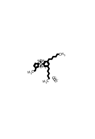 CCCCCCc1cc(CCCCCC)cc([Si](C)(C)[C]2([Ti+3])C=CC(CC)=C2)c1.[Cl-].[Cl-].[Cl-]